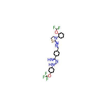 N=C(/N=C\Nc1ccc(OC(F)(F)F)cc1)c1ccc(/C=N/N=C2\SCCN2c2ccccc2OC(F)F)cc1